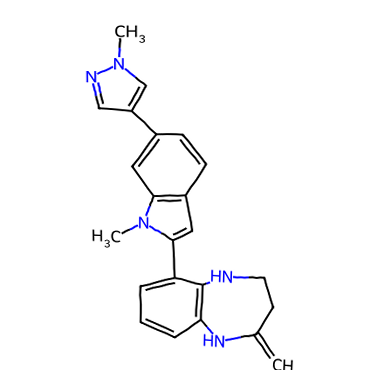 C=C1CCNc2c(cccc2-c2cc3ccc(-c4cnn(C)c4)cc3n2C)N1